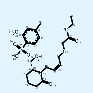 CCOC(=O)COC/C=C\CN1C(=O)CCC[C@@H]1CO.Cc1ccc(S(=O)(=O)O)cc1.O